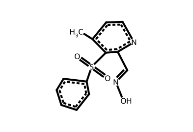 Cc1ccnc(C=NO)c1S(=O)(=O)c1ccccc1